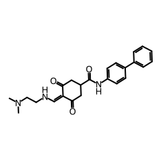 CN(C)CCNC=C1C(=O)CC(C(=O)Nc2ccc(-c3ccccc3)cc2)CC1=O